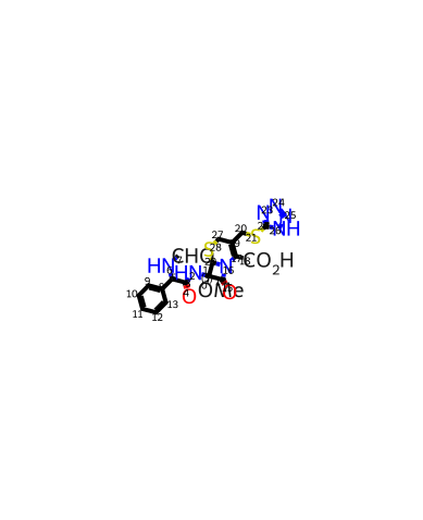 CO[C@@]1(NC(=O)C(NC=O)c2ccccc2)C(=O)N2C(C(=O)O)=C(CSc3nnn[nH]3)CSC21